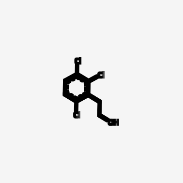 OCCc1c(Cl)ccc(Cl)c1Cl